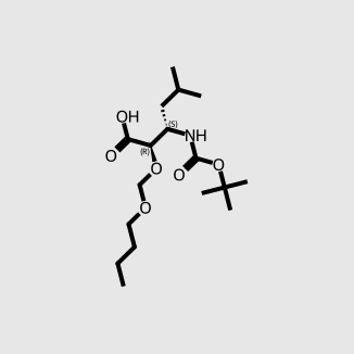 CCCCOCO[C@@H](C(=O)O)[C@H](CC(C)C)NC(=O)OC(C)(C)C